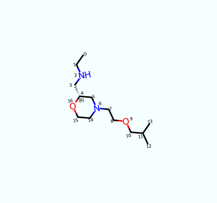 CCNC[C@@H]1CN(CCOCC(C)C)CCO1